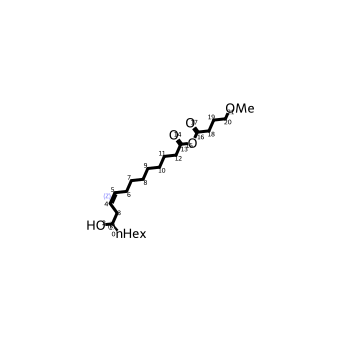 CCCCCC[C@@H](O)C/C=C\CCCCCCCC(=O)OC(=O)CCCOC